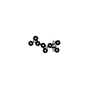 c1ccc(-n2c3ccccc3c3cc(-c4ccc5c(c4)c4ccccc4n5-c4ccc5c(c4)c4sc6ccccc6c4n4c6ccccc6nc54)ccc32)cc1